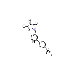 O=C1NC(=O)/C(=C/c2ccnc(-c3ccc(OC(F)(F)F)cc3)c2)S1